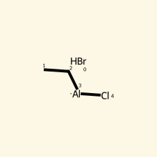 Br.C[CH2][Al][Cl]